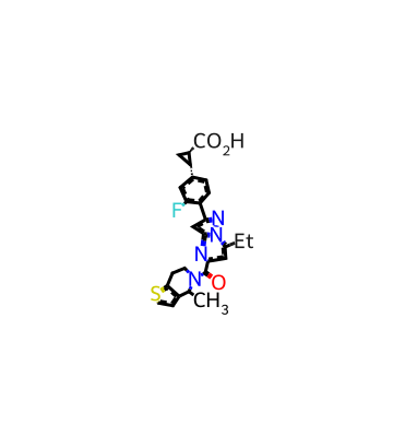 CCc1cc(C(=O)N2CCc3sccc3C2C)nc2cc(-c3ccc([C@@H]4C[C@H]4C(=O)O)cc3F)nn12